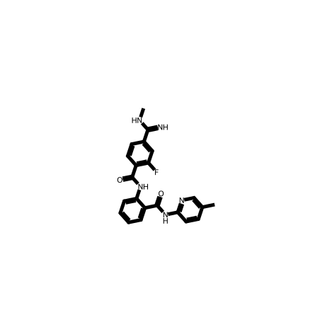 CNC(=N)c1ccc(C(=O)Nc2ccccc2C(=O)Nc2ccc(C)cn2)c(F)c1